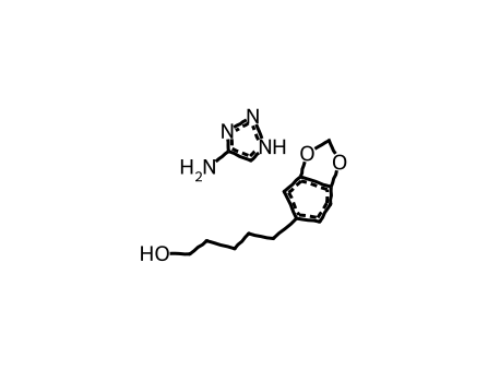 Nc1c[nH]nn1.OCCCCCc1ccc2c(c1)OCO2